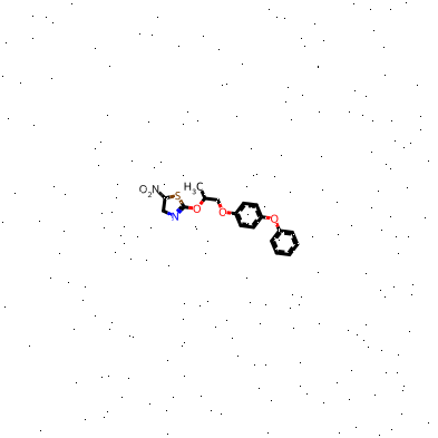 CC(COc1ccc(Oc2ccccc2)cc1)OC1=NCC([N+](=O)[O-])S1